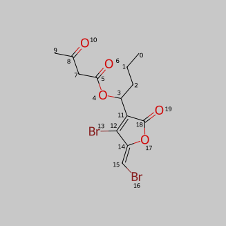 CCCC(OC(=O)CC(C)=O)C1=C(Br)/C(=C/Br)OC1=O